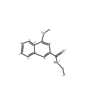 [CH2]CNC(=O)c1cc(OC)c2ccccc2c1